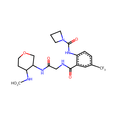 O=C(O)NC1CCOCC1NC(=O)CNC(=O)c1cc(C(F)(F)F)ccc1NC(=O)N1CCC1